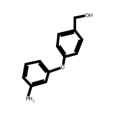 OCc1ccc(Oc2cccc(P)c2)cc1